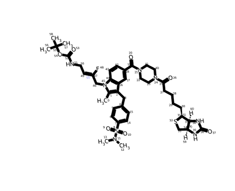 Cc1c(Cc2ccc(S(=O)(=O)N(C)C)cc2)c2cc(C(=O)N3CCN(C(=O)CCCC[C@@H]4SC[C@@H]5NC(=O)N[C@@H]54)CC3)ccc2n1C/C(F)=C/CNC(=O)OC(C)(C)C